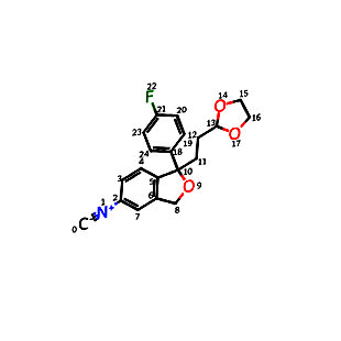 [C-]#[N+]c1ccc2c(c1)COC2(CCC1OCCO1)c1ccc(F)cc1